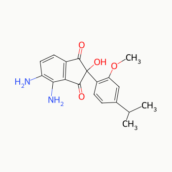 COc1cc(C(C)C)ccc1C1(O)C(=O)c2ccc(N)c(N)c2C1=O